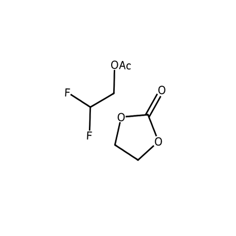 CC(=O)OCC(F)F.O=C1OCCO1